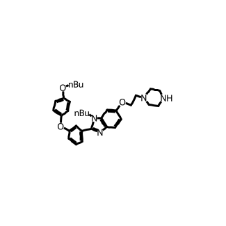 CCCCOc1ccc(Oc2cccc(-c3nc4ccc(OCCN5CCNCC5)cc4n3CCCC)c2)cc1